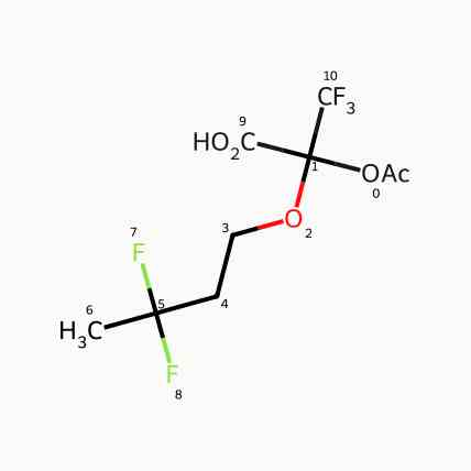 CC(=O)OC(OCCC(C)(F)F)(C(=O)O)C(F)(F)F